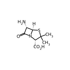 CC1(C)S[C@@H]2[C@@H](N)C(=O)N2[C@H]1C(=O)O